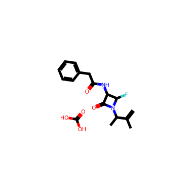 C=C(C)C(C)N1C(=O)C(NC(=O)Cc2ccccc2)C1F.O=C(O)O